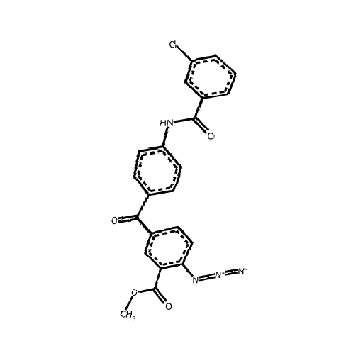 COC(=O)c1cc(C(=O)c2ccc(NC(=O)c3cccc(Cl)c3)cc2)ccc1N=[N+]=[N-]